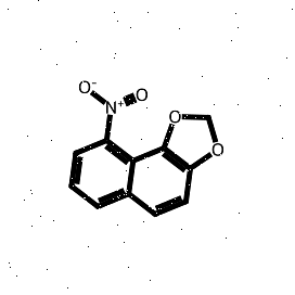 O=[N+]([O-])c1cccc2ccc3c(c12)OCO3